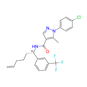 C=CCCC[C@H](NC(=O)c1cnn(-c2ccc(Cl)cc2)c1C)c1cccc(C(F)(F)F)c1